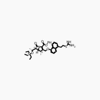 CC[Si](CC)(CC)O[C@H](C)[C@H]1C(=O)N2C(C(=O)OP)=C(COc3cccc4c(CCSC(=N)N)cccc34)[C@H](C)[C@H]12